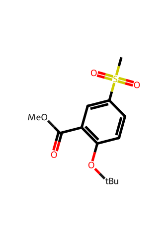 COC(=O)c1cc(S(C)(=O)=O)ccc1OC(C)(C)C